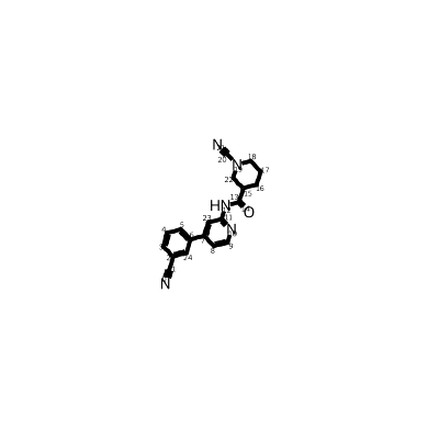 N#Cc1cccc(-c2ccnc(NC(=O)C3CCCN(C#N)C3)c2)c1